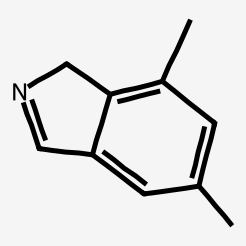 Cc1cc(C)c2c(c1)C=NC2